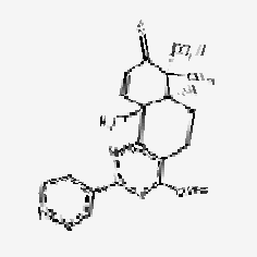 COc1nc(-c2ccncc2)nc2c1CC[C@@H]1[C@@](C)(C(=O)O)C(=O)C=C[C@@]21C